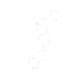 COc1ccccc1CNc1ccc2cc(Nc3cc(C)on3)ccc2n1